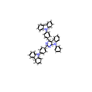 c1ccc(-n2c3ccccc3c3c(-c4ccc(-n5c6ccccc6c6ccccc65)cc4)nc(-c4ccc(-n5c6ccccc6c6ccccc65)cc4)nc32)cc1